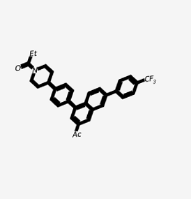 CCC(=O)N1CCC(c2ccc(-c3cc(C(C)=O)cc4cc(-c5ccc(C(F)(F)F)cc5)ccc34)cc2)CC1